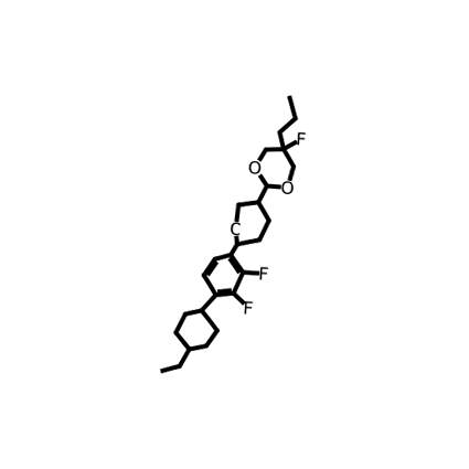 CCCC1(F)COC(C2CCC(c3ccc(C4CCC(CC)CC4)c(F)c3F)CC2)OC1